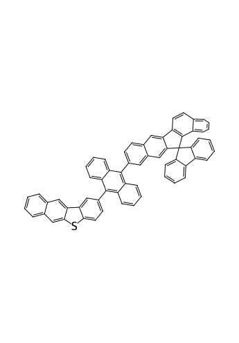 c1ccc2c(c1)-c1ccccc1C21c2cc3cc(-c4c5ccccc5c(-c5ccc6sc7cc8ccccc8cc7c6c5)c5ccccc45)ccc3cc2-c2ccc3ccccc3c21